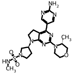 CNS(=O)(=O)N1CC[C@H](N2CCc3c(-c4cnc(N)nc4)nc(N4CCOC[C@H]4C)nc32)C1